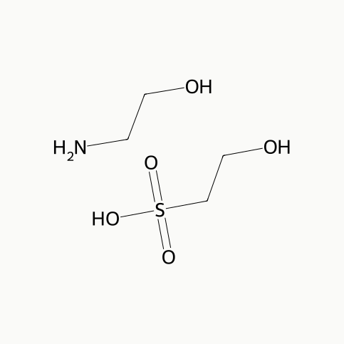 NCCO.O=S(=O)(O)CCO